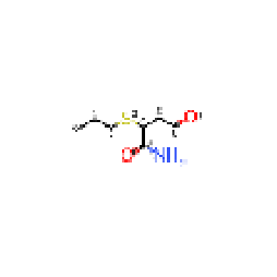 CCCSC(CC=O)C(N)=O